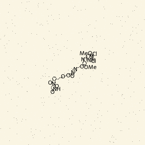 COc1cc(Nc2c(C#N)cnc3cc(OCCCN4CCN(C(=O)COCCOCCCc5cccc6c5CN(C5CCC(=O)NC5=O)C6=O)CC4)c(OC)cc23)c(Cl)cc1Cl